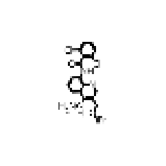 CC(C)OCc1cnc2c(NC(=O)c3c(Cl)cccc3Cl)cccc2c1NN